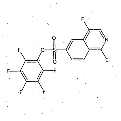 O=S(=O)(Oc1c(F)c(F)c(F)c(F)c1F)c1ccc2c(Cl)ncc(F)c2c1